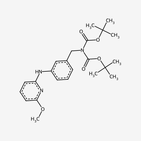 COc1cccc(Nc2cccc(CN(C(=O)OC(C)(C)C)C(=O)OC(C)(C)C)c2)n1